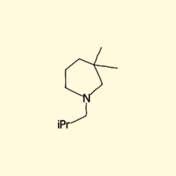 CC(C)CN1CCCC(C)(C)C1